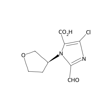 O=Cc1nc(Cl)c(C(=O)O)n1[C@H]1CCOC1